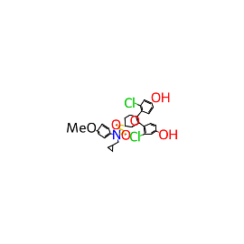 COc1ccc(N(CC2CC2)S(=O)(=O)C2CC3OC2C(c2ccc(O)cc2Cl)=C3c2ccc(O)cc2Cl)cc1